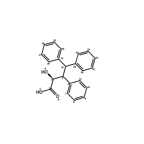 O=C(O)[C@@H](O)C(c1ccccc1)C(c1ccccc1)c1ccccc1